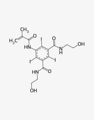 C=C(C)C(=O)Nc1c(I)c(C(=O)NCCO)c(I)c(C(=O)NCCO)c1I